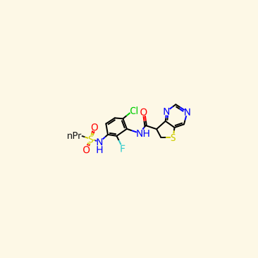 CCCS(=O)(=O)Nc1ccc(Cl)c(NC(=O)C2CSc3cncnc32)c1F